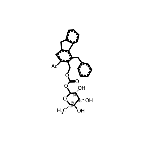 CC(=O)c1cc2c(c(Cc3ccccc3)c1COC(=O)OC1O[C@@H](C)[C@H](O)[C@@H](O)[C@H]1O)-c1ccccc1C2